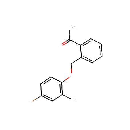 COC(=O)c1ccccc1COc1ccc(Br)cc1C#N